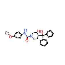 CCOc1ccc(NC(=O)N2CCC(C(O)(c3ccccc3)c3ccccc3)CC2)cc1